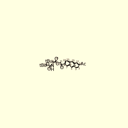 CC(=O)c1ccc2cc3cc(C(=O)COC(=O)C(NC(=O)OC(C)(C)C)C(C)(C)C)ccc3cc2c1